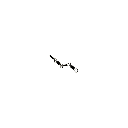 CB=NN=O